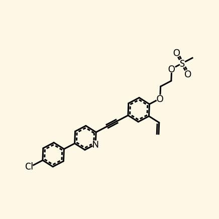 C=Cc1cc(C#Cc2ccc(-c3ccc(Cl)cc3)cn2)ccc1OCCOS(C)(=O)=O